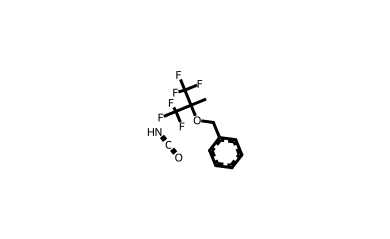 CC(OCc1ccccc1)(C(F)(F)F)C(F)(F)F.N=C=O